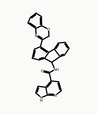 O=C(NC1c2ccccc2-c2c(C3=Nc4ccccc4OC3)cccc21)c1ccnc2[nH]ccc12